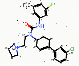 O=C(Nc1cc(F)cc(C(F)(F)F)c1)N(CCN1CCCC1)C1CC=C(c2cccc(Cl)c2)CC1